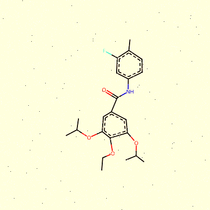 CCOc1c(OC(C)C)cc(C(=O)Nc2ccc(C)c(F)c2)cc1OC(C)C